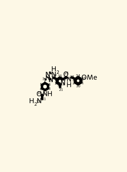 C=NN(C[C@H]1CC[C@H](NC(=O)CN)CC1)/N=C(\N)c1cc(C)nc(C(=O)NCc2cccc(OC)c2)c1